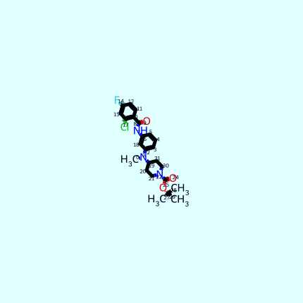 CN(c1cccc(NC(=O)c2ccc(F)cc2Cl)c1)C1CCN(C(=O)OC(C)(C)C)CC1